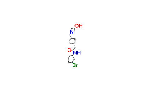 O=C(Cc1ccc(CN2CC(O)C2)cc1)Nc1cccc(Br)c1